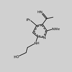 CNc1nc(NCCO)cc(C(C)C)c1C(C)=N